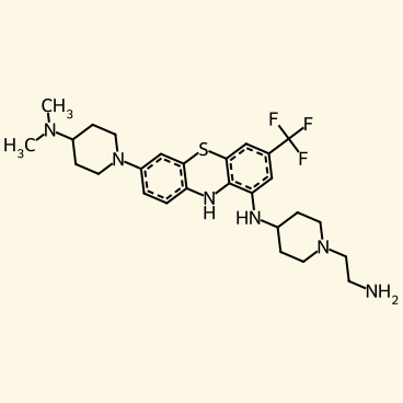 CN(C)C1CCN(c2ccc3c(c2)Sc2cc(C(F)(F)F)cc(NC4CCN(CCN)CC4)c2N3)CC1